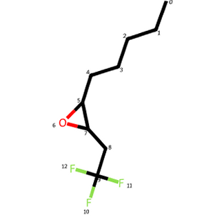 CCCCCC1OC1CC(F)(F)F